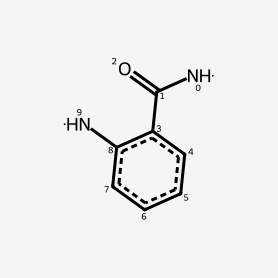 [NH]C(=O)c1ccccc1[NH]